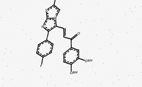 COc1ccc(C(=O)C=Cc2c(-c3ccc(F)cc3)nc3sc(C)cn23)cc1OC